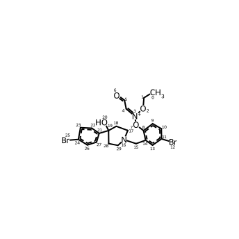 CCO[N+](=CC=O)Oc1ccc(Br)cc1CN1CCC(O)(c2ccc(Br)cc2)CC1